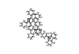 c1ccc(-c2nc(-c3ccc(-n4c5ccccc5c5ccccc54)cc3)nc(-c3cccc(-c4c(-c5ccccc5)c(-c5ccccc5)nc(-c5ccccc5)c4-c4ccccc4)c3)n2)cc1